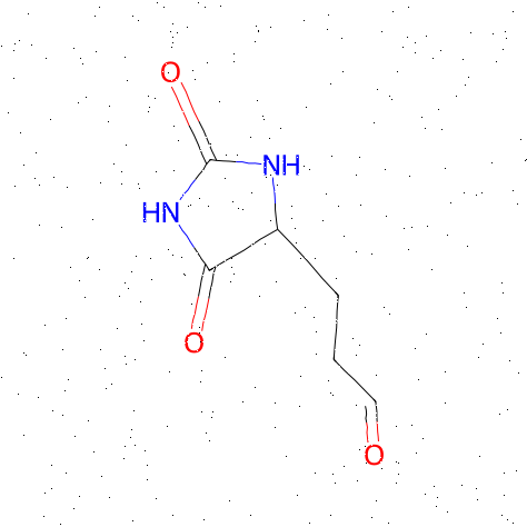 O=CCCC1NC(=O)NC1=O